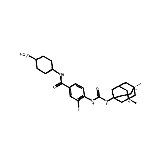 C[C@]12CC3CC(NC(=O)Nc4ccc(C(=O)NC5CCC(C(=O)O)CC5)cc4F)(C1)C[C@@](C)(C3)C2